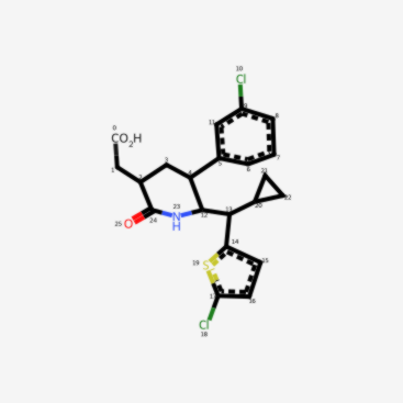 O=C(O)CC1CC(c2cccc(Cl)c2)C(C(c2ccc(Cl)s2)C2CC2)NC1=O